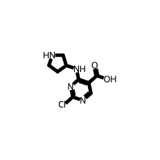 O=C(O)c1cnc(Cl)nc1NC1CCNC1